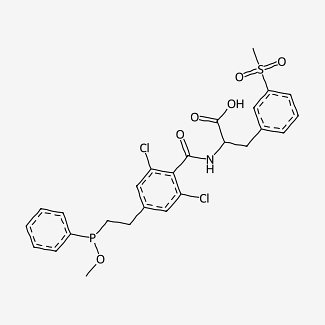 COP(CCc1cc(Cl)c(C(=O)NC(Cc2cccc(S(C)(=O)=O)c2)C(=O)O)c(Cl)c1)c1ccccc1